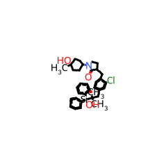 CC1(O)CCC(N2CCC(Cc3ccc(CC(C)(C)[Si](O)(c4ccccc4)c4ccccc4)cc3Cl)C2=O)CC1